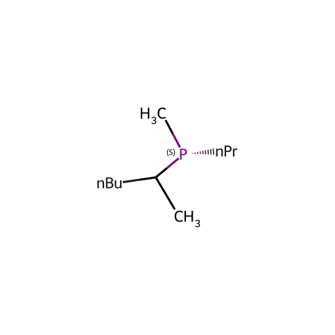 CCCCC(C)[P@](C)CCC